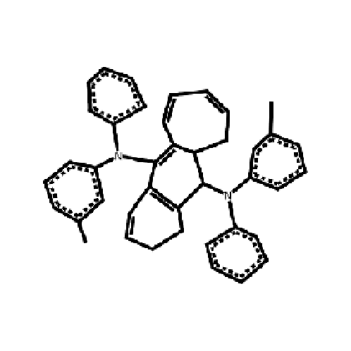 Cc1cccc(N(C2=C3C=CC=CCC3C(N(c3ccccc3)c3cccc(C)c3)C3=C2C=CCC3)c2ccccc2)c1